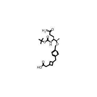 C[C@@H](OCc1ccc(CC2CC(CC(=O)O)C2)cc1)[C@H](CCC(N)=O)NC(=O)OC(C)(C)C